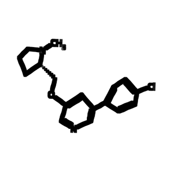 CN1CCC[C@H]1COc1cncc(-c2ccc(Cl)cc2)c1